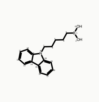 OB(O)CCCCCn1c2ccccc2c2ccccc21